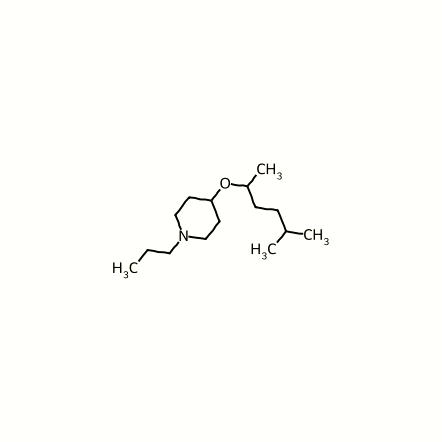 CCCN1CCC(OC(C)CCC(C)C)CC1